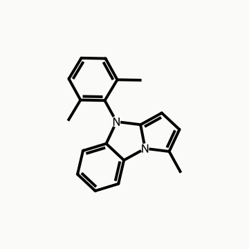 Cc1cccc(C)c1-n1c2ccccc2n2c(C)ccc12